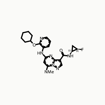 CNc1cc(Nc2cccnc2OC2CCCCC2)nc2c(C(=O)N[C@H]3C[C@H]3F)cnn12